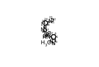 Cn1ncc2cccc(NS(=O)(=O)c3cnn(-c4cc(N5CCC5)ccn4)c3)c21